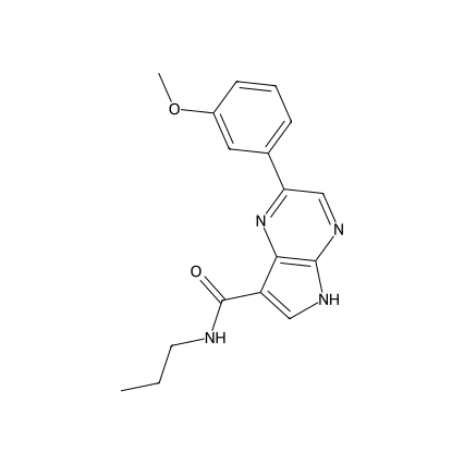 CCCNC(=O)c1c[nH]c2ncc(-c3cccc(OC)c3)nc12